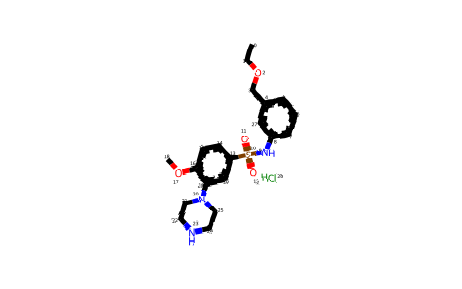 CCOCc1cccc(NS(=O)(=O)c2ccc(OC)c(N3CCNCC3)c2)c1.Cl